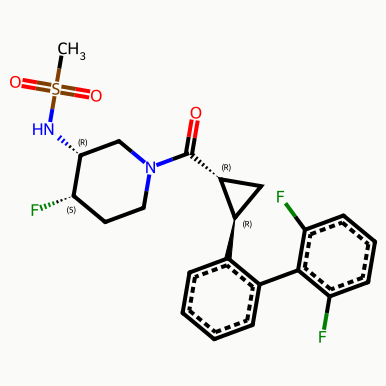 CS(=O)(=O)N[C@@H]1CN(C(=O)[C@@H]2C[C@H]2c2ccccc2-c2c(F)cccc2F)CC[C@@H]1F